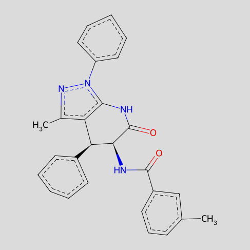 Cc1cccc(C(=O)N[C@@H]2C(=O)Nc3c(c(C)nn3-c3ccccc3)[C@@H]2c2ccccc2)c1